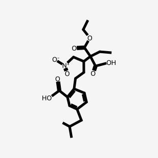 CCOC(=O)C(CC)(C(=O)O)C(CCc1ccc(CC(C)C)cc1C(=O)O)C[N+](=O)[O-]